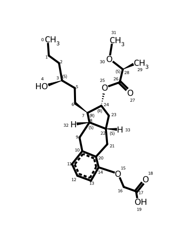 CCC[C@H](O)CC[C@@H]1[C@H]2Cc3cccc(OCC(=O)O)c3C[C@H]2C[C@H]1OC(=O)[C@H](C)OC